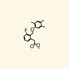 COC(=O)Cc1cccc(F)c1COc1cc(C)c(C)cc1C